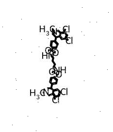 CN1Cc2c(Cl)cc(Cl)cc2C(c2ccc(S(=O)(=O)NCCCCNS(=O)(=O)c3ccc(C4CN(C)Cc5c(Cl)cc(Cl)cc54)cc3)cc2)C1